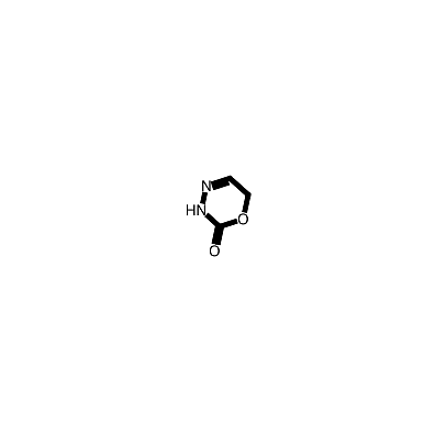 O=C1NN=CCO1